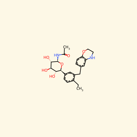 CCc1ccc([C@@H]2O[C@H](NC(C)=O)[C@@H](O)[C@H](O)[C@H]2O)cc1Cc1ccc2c(c1)NCCO2